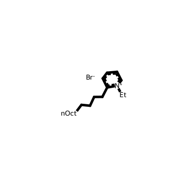 CCCCCCCCCCCCc1cccc[n+]1CC.[Br-]